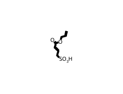 C=CCOC(=O)C=CCS(=O)(=O)O